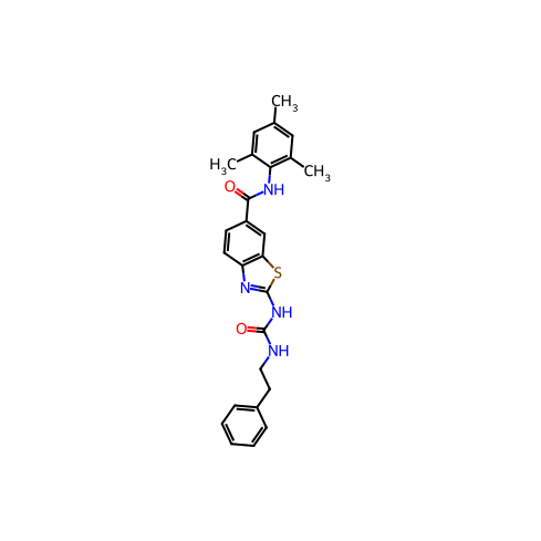 Cc1cc(C)c(NC(=O)c2ccc3nc(NC(=O)NCCc4ccccc4)sc3c2)c(C)c1